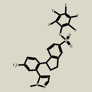 Cn1nccc1-c1cc(C(F)(F)F)ccc1C1CCc2cc(S(=O)(=O)Oc3c(F)c(F)c(F)c(F)c3F)ccc21